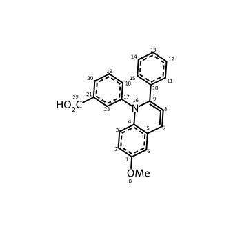 COc1ccc2c(c1)C=C=C(c1ccccc1)N2c1cccc(C(=O)O)c1